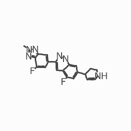 Cn1nc2cc(-c3cc4c(F)cc(C5C=CNCC5)cc4nn3)cc(F)c2n1